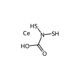 O=C(O)N(S)S.[Ce]